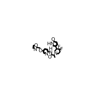 CC(C(=O)Nc1ccc(OCc2ncco2)cn1)N1CCC(F)(F)C(c2ccc(=O)[nH]c2)C1